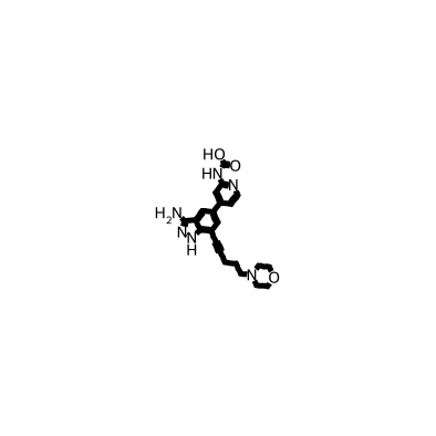 Nc1n[nH]c2c(C#CCCCN3CCOCC3)cc(-c3ccnc(NC(=O)O)c3)cc12